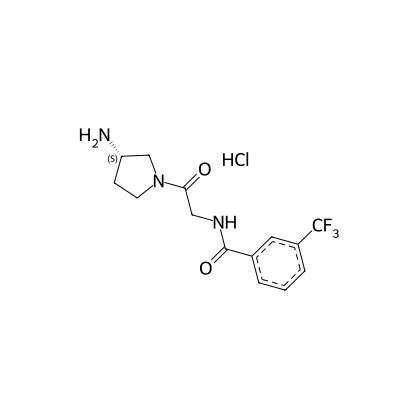 Cl.N[C@H]1CCN(C(=O)CNC(=O)c2cccc(C(F)(F)F)c2)C1